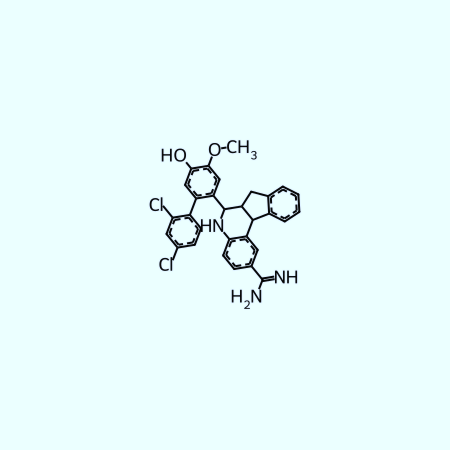 COc1cc(C2Nc3ccc(C(=N)N)cc3C3c4ccccc4CC23)c(-c2ccc(Cl)cc2Cl)cc1O